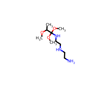 COC(C)C(NCCNCCN)(OC)OC